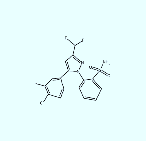 Cc1cc(-c2cc(C(F)F)nn2-c2ccccc2S(N)(=O)=O)ccc1Cl